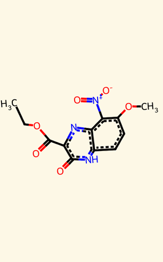 CCOC(=O)c1nc2c([N+](=O)[O-])c(OC)ccc2[nH]c1=O